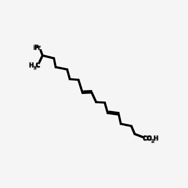 CC(C)C(C)CCCCCC=CCCC=CCCCC(=O)O